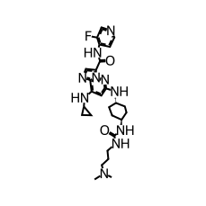 CN(C)CCCNC(=O)N[C@H]1CC[C@H](Nc2cc(NC3CC3)c3ncc(C(=O)Nc4ccncc4F)n3n2)CC1